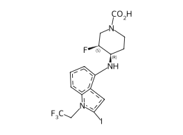 O=C(O)N1CC[C@@H](Nc2cccc3c2cc(I)n3CC(F)(F)F)[C@@H](F)C1